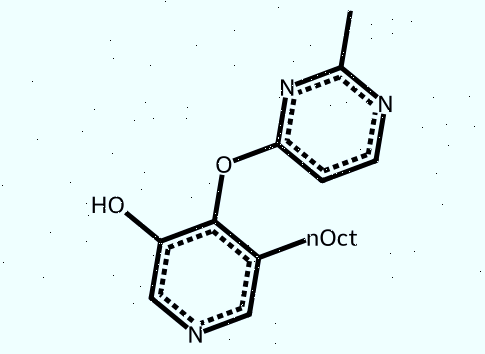 CCCCCCCCc1cncc(O)c1Oc1ccnc(C)n1